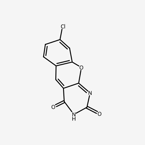 O=c1nc2oc3cc(Cl)ccc3cc-2c(=O)[nH]1